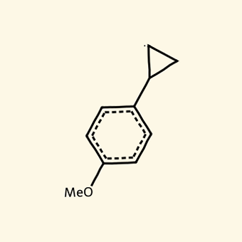 COc1ccc(C2[CH]C2)cc1